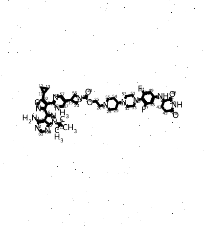 CC(C)(C)n1nc(-c2noc(C3CC3)c2-c2ncc(C3CN(C(=O)OCCN4CCC(N5CCN(c6c(F)cc(NC7CCC(=O)NC7=O)cc6F)CC5)CC4)C3)cn2)c2c(N)ncnc21